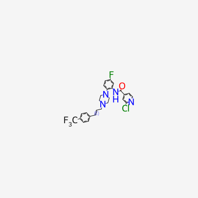 O=C(Nc1cc(F)ccc1N1CCN(C/C=C/c2ccc(C(F)(F)F)cc2)CC1)c1ccnc(Cl)c1